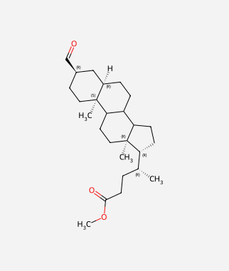 COC(=O)CC[C@@H](C)[C@H]1CCC2C3CC[C@@H]4C[C@H](C=O)CC[C@]4(C)C3CC[C@@]21C